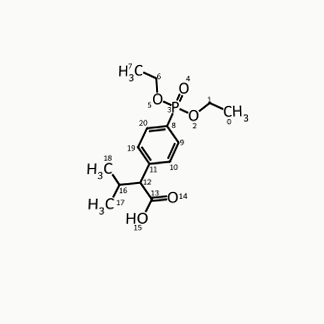 CCOP(=O)(OCC)c1ccc(C(C(=O)O)C(C)C)cc1